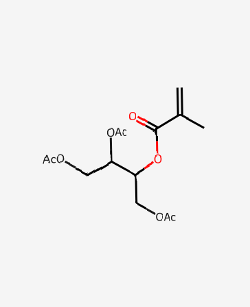 C=C(C)C(=O)OC(COC(C)=O)C(COC(C)=O)OC(C)=O